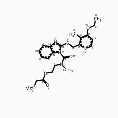 COCC(=O)OCCN(C)C(=O)n1c(SCc2nccc(OCC(F)(F)F)c2C)nc2ccccc21